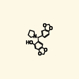 Oc1cc2c(cc1[C@@H](c1ccc3c(c1)OCO3)N1CCCC1)OCO2